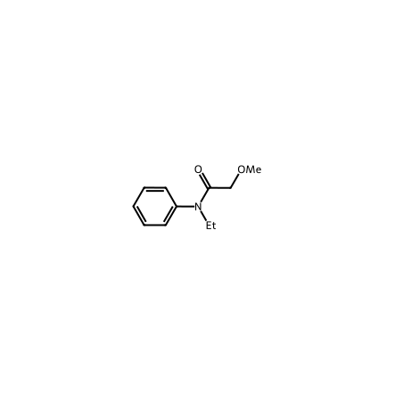 CCN(C(=O)COC)c1ccccc1